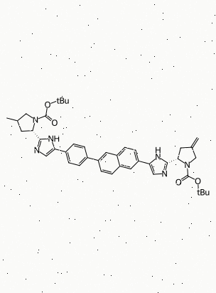 C=C1C[C@@H](c2ncc(-c3ccc4cc(-c5ccc(-c6cnc([C@@H]7CC(C)CN7C(=O)OC(C)(C)C)[nH]6)cc5)ccc4c3)[nH]2)N(C(=O)OC(C)(C)C)C1